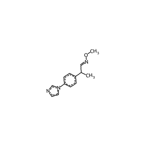 CON=CC(C)c1ccc(-n2ccnc2)cc1